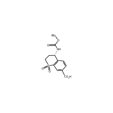 CC(C)(C)OC(=O)N[C@H]1CCS(=O)(=O)c2cc(C(=O)O)ccc21